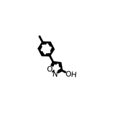 Cc1ccc(-c2cc(O)no2)cc1